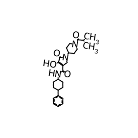 CC(C)C(=O)N1CCC(N2CC(C(=O)NC3CCC(c4ccccc4)CC3)=C(O)C2=O)CC1